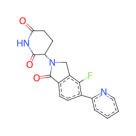 O=C1CCC(N2Cc3c(ccc(-c4ccccn4)c3F)C2=O)C(=O)N1